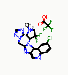 CN1CC(n2c(Cn3cncn3)nc3cnc4ccc(Cl)cc4c32)C(F)(F)C1.O=C(O)C(F)(F)F